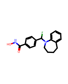 O=C(NO)c1ccc(C(F)N2CCCCc3ccccc32)cc1